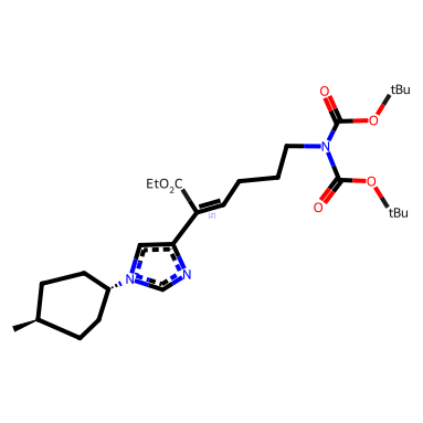 CCOC(=O)/C(=C\CCCN(C(=O)OC(C)(C)C)C(=O)OC(C)(C)C)c1cn([C@H]2CC[C@H](C)CC2)cn1